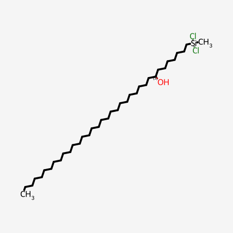 CCCCCCCCCCCCCCCCCCCCCCCCCCCC[C@H](O)CCCCCCC[Si](C)(Cl)Cl